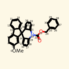 COc1ccc2c(c1)C1(c3ccccc3-2)c2ccccc2N(C(=O)OCc2ccccc2)c2ccccc21